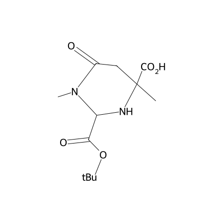 CN1C(=O)CC(C)(C(=O)O)NC1C(=O)OC(C)(C)C